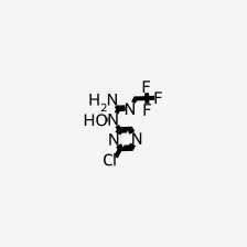 NC(=NCC(F)(F)F)N(O)c1cncc(Cl)n1